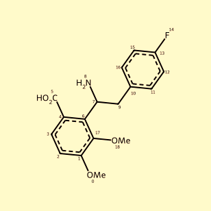 COc1ccc(C(=O)O)c(C(N)Cc2ccc(F)cc2)c1OC